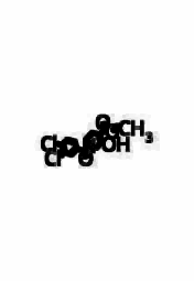 CCOC(=O)C1=C(O)CN(C(=O)c2ccc(Cl)c(Cl)c2)CC1